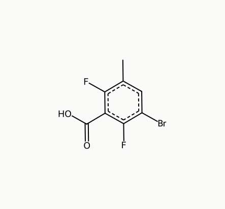 Cc1cc(Br)c(F)c(C(=O)O)c1F